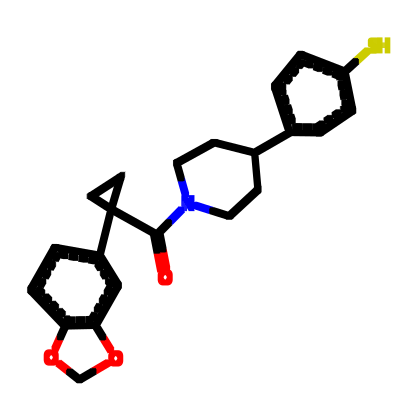 O=C(N1CCC(c2ccc(S)cc2)CC1)C1(c2ccc3c(c2)OCO3)CC1